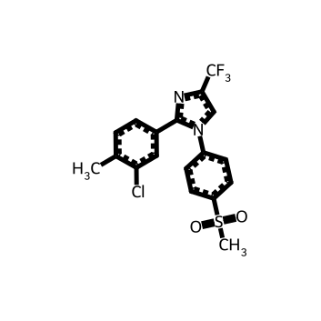 Cc1ccc(-c2nc(C(F)(F)F)cn2-c2ccc(S(C)(=O)=O)cc2)cc1Cl